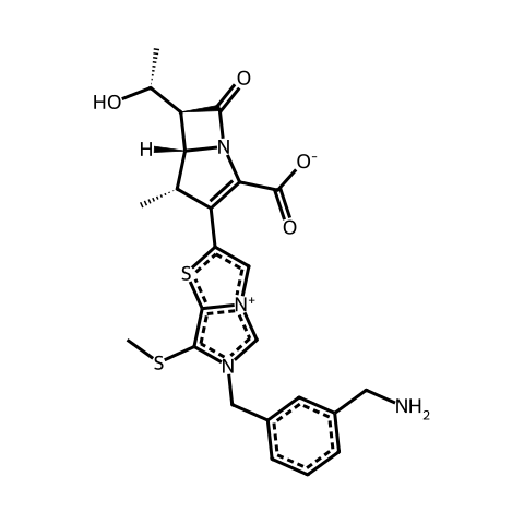 CSc1c2sc(C3=C(C(=O)[O-])N4C(=O)[C@H]([C@@H](C)O)[C@H]4[C@H]3C)c[n+]2cn1Cc1cccc(CN)c1